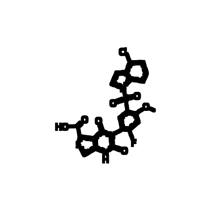 COc1cc(F)c(-n2c(=O)[nH]c3csc(C(=O)O)c3c2=O)cc1S(=O)(=O)n1ccc2c(Cl)cccc21